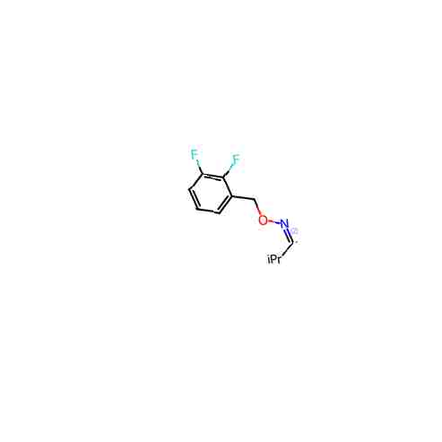 CC(C)/[C]=N\OCc1cccc(F)c1F